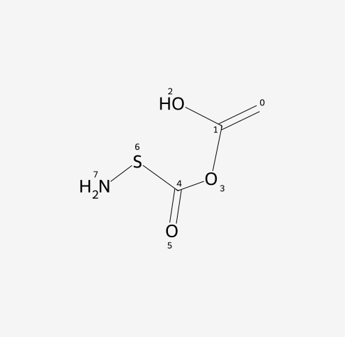 C=C(O)OC(=O)SN